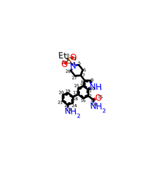 CCS(=O)(=O)N1CCC(c2c[nH]c3c(C(N)=O)cc(-c4cccc(N)c4)cc23)CC1